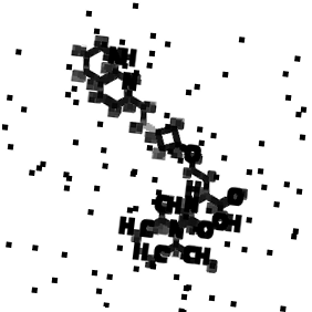 CC(C)N(C(=O)NC(CCO[C@H]1C[C@H](CCc2ccc3c(n2)NCCC3)C1)C(=O)O)C(C)C